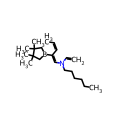 C=CN(/C=C(\C=C/C)B1CC(C)(C)C(C)(C)C1)CCCCCC